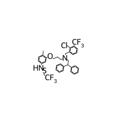 Cc1ccc(NSCC(F)(F)F)cc1OCCCN(Cc1cccc(C(F)(F)F)c1Cl)CC(c1ccccc1)c1ccccc1